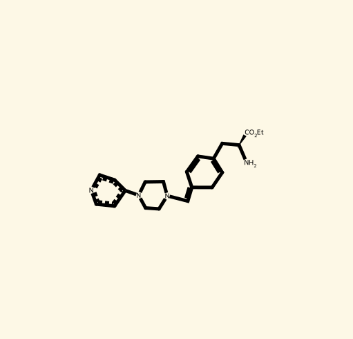 CCOC(=O)[C@@H](N)CC1=CCC(=CN2CCN(c3ccncc3)CC2)C=C1